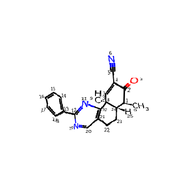 C[C@@H]1C(=O)C(C#N)=C[C@]2(C)c3nc(-c4ccccc4)ncc3CC[C@@H]12